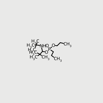 CCCOP(=O)(CCC)OC(NC(C)(C)C)C(C)(C)C